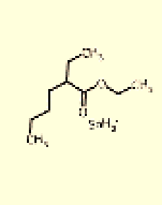 CCCCC(CC)C(=O)OCC.[SnH2]